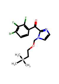 C[Si](C)(C)CCOCn1ccnc1C(=O)c1ccc(Br)c(F)c1F